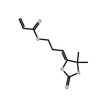 C=CC(=O)OCC/C=C1\OC(=O)OC1(C)C